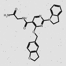 NC(=O)CNC(=O)c1cnc(N2CCc3ccccc32)nc1OCc1ccc2c(c1)CCO2